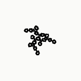 C1=Cc2c(n(-c3ccc(-c4ccccc4)cc3)c3ccc(N(c4ccccc4)c4cc(N(c5ccccc5)c5ccc6c(c5)c5ccccc5n6-c5ccc(-c6ccccc6)cc5)cc(N(c5ccccc5)c5ccc6c(c5)c5ccccc5n6-c5ccc(-c6ccccc6)cc5)c4)cc23)CC1